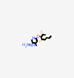 C=CC/C=C(F)\C(Oc1cc(C)c(NN)cn1)=C(/C)F